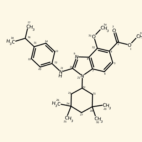 COC(=O)c1ccc2c(nc(Nc3ccc(C(C)C)cc3)n2C2CC(C)(C)CC(C)(C)C2)c1OC